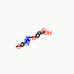 CCOc1ccc(-c2ncc(C)c(N(C)CCCOc3ccc4c(c3)CC[C@H]4CC(=O)O)n2)cc1